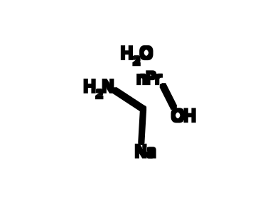 CCCO.N[CH2][Na].O